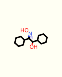 O/N=C(\C1CCCCC1)C(O)C1CCCCC1